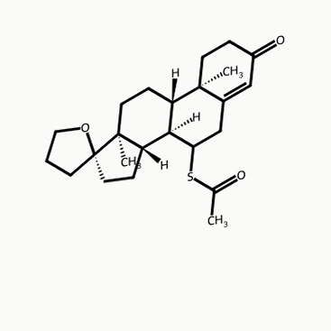 CC(=O)SC1CC2=CC(=O)CC[C@]2(C)[C@H]2CC[C@@]3(C)[C@@H](CC[C@@]34CCCO4)[C@H]12